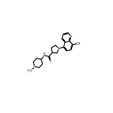 CN1CCC(NC(=O)C2CCN(c3ccc(C#N)c4ncccc34)C2)CC1